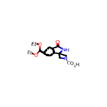 CCOC(OCC)c1ccc2c(c1)C(=O)NC21CN(C(=O)O)C1